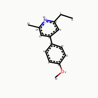 CCc1cc(-c2ccc(OC)cc2)cc(C)n1